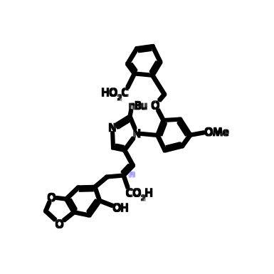 CCCCc1ncc(/C=C(\Cc2cc3c(cc2O)OCO3)C(=O)O)n1-c1ccc(OC)cc1OCc1ccccc1C(=O)O